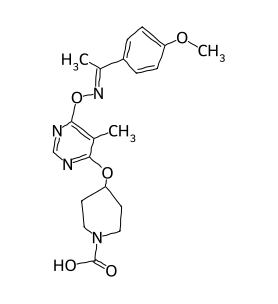 COc1ccc(C(C)=NOc2ncnc(OC3CCN(C(=O)O)CC3)c2C)cc1